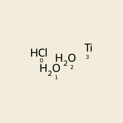 Cl.O.O.[Ti]